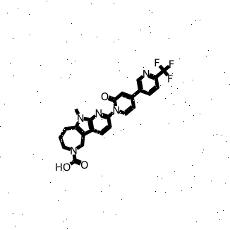 Cn1c2c(c3ccc(-n4ccc(-c5ccc(C(F)(F)F)nc5)cc4=O)nc31)CN(C(=O)O)CCC2